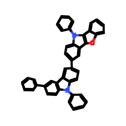 c1ccc(-c2ccc3c(c2)c2cc(-c4ccc5c(c4)c4oc6ccccc6c4n5-c4ccccc4)ccc2n3-c2ccccc2)cc1